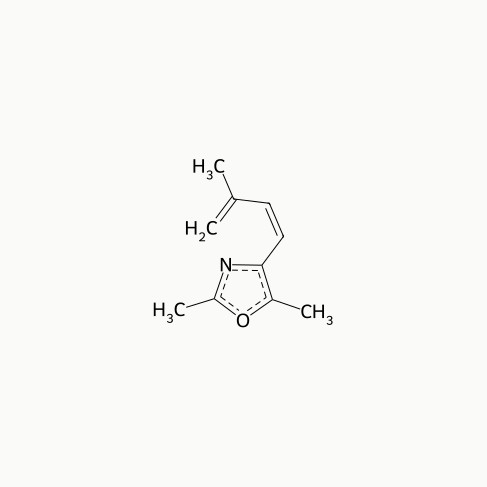 C=C(C)/C=C\c1nc(C)oc1C